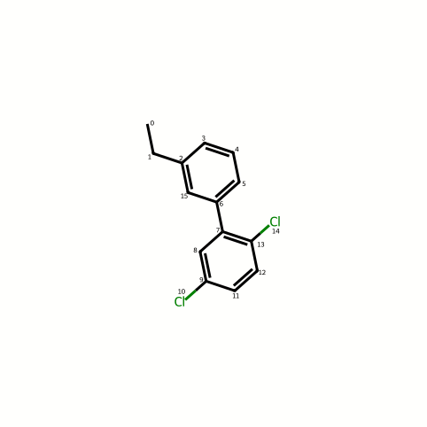 CCc1cccc(-c2cc(Cl)ccc2Cl)c1